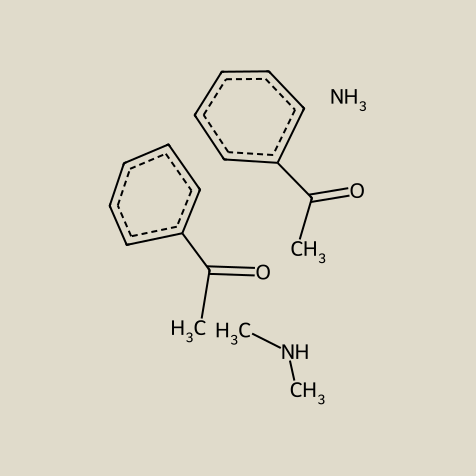 CC(=O)c1ccccc1.CC(=O)c1ccccc1.CNC.N